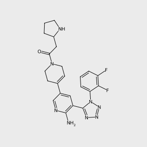 Nc1ncc(C2=CCN(C(=O)CC3CCCN3)CC2)cc1-c1nnnn1-c1cccc(F)c1F